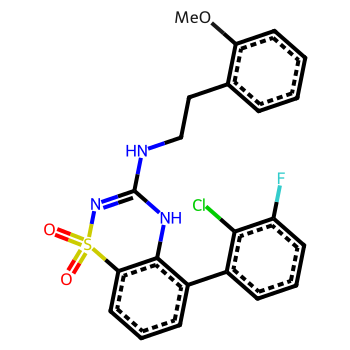 COc1ccccc1CCNC1=NS(=O)(=O)c2cccc(-c3cccc(F)c3Cl)c2N1